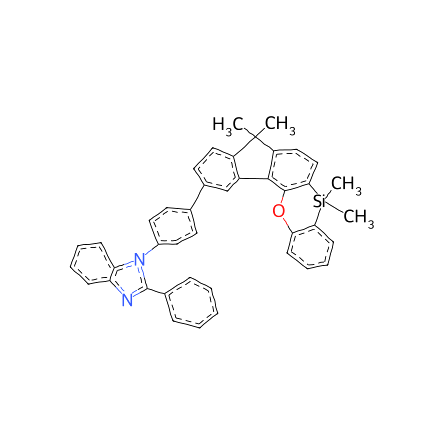 CC1(C)c2ccc(-c3ccc(-n4c(-c5ccccc5)nc5ccccc54)cc3)cc2-c2c1ccc1c2Oc2ccccc2[Si]1(C)C